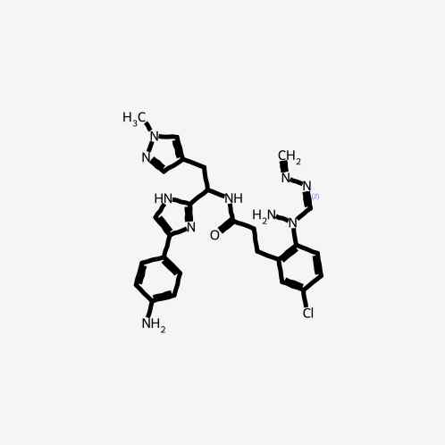 C=N/N=C\N(N)c1ccc(Cl)cc1CCC(=O)NC(Cc1cnn(C)c1)c1nc(-c2ccc(N)cc2)c[nH]1